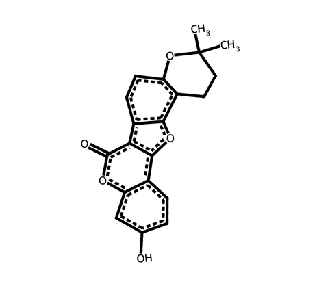 CC1(C)CCc2c(ccc3c2oc2c4ccc(O)cc4oc(=O)c32)O1